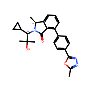 Cc1nnc(-c2ccc(-c3cccc4c3C(=O)N([C@H](C3CC3)C(C)(C)O)[C@H]4C)cc2)o1